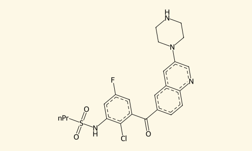 CCCS(=O)(=O)Nc1cc(F)cc(C(=O)c2ccc3ncc(N4CCNCC4)cc3c2)c1Cl